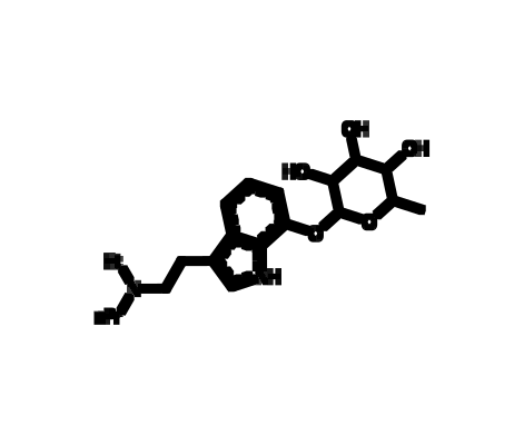 CCCN(CC)CCc1c[nH]c2c(OC3OC(C)C(O)C(O)C3O)cccc12